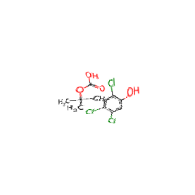 CC(C)(C)OC(=O)O.Oc1cc(Cl)c(Cl)cc1Cl